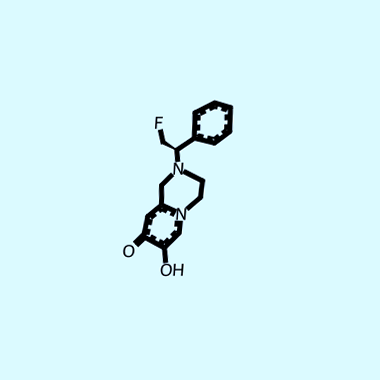 O=c1cc2n(cc1O)CCN([C@@H](CF)c1ccccc1)C2